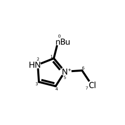 CCCCc1[nH]cc[n+]1CCl